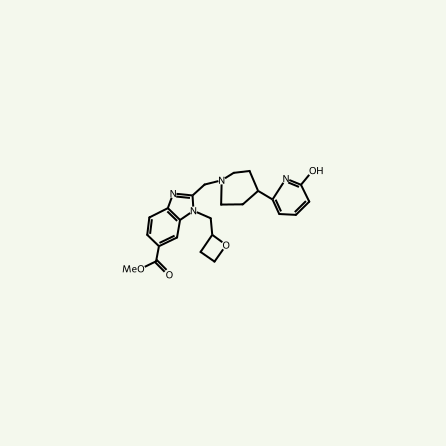 COC(=O)c1ccc2nc(CN3CCC(c4cccc(O)n4)CC3)n(CC3CCO3)c2c1